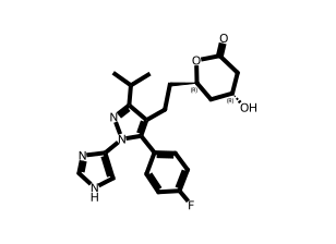 CC(C)c1nn(-c2c[nH]cn2)c(-c2ccc(F)cc2)c1CC[C@@H]1C[C@@H](O)CC(=O)O1